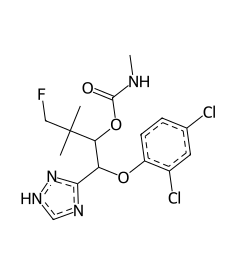 CNC(=O)OC(C(Oc1ccc(Cl)cc1Cl)c1nc[nH]n1)C(C)(C)CF